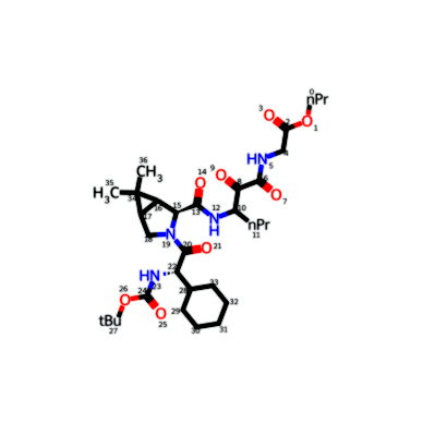 CCCOC(=O)CNC(=O)C(=O)C(CCC)NC(=O)[C@@H]1C2C(CN1C(=O)[C@@H](NC(=O)OC(C)(C)C)C1CCCCC1)C2(C)C